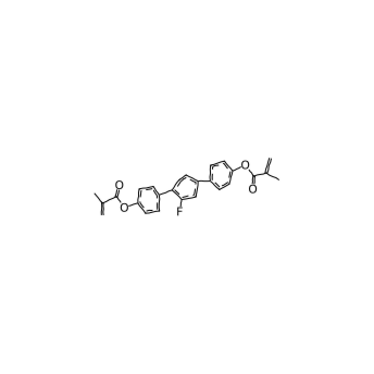 C=C(C)C(=O)Oc1ccc(-c2ccc(-c3ccc(OC(=O)C(=C)C)cc3)c(F)c2)cc1